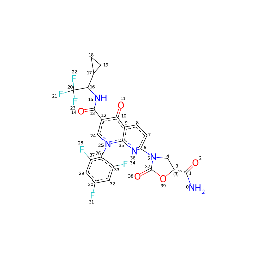 NC(=O)[C@H]1CN(c2ccc3c(=O)c(C(=O)NC(C4CC4)C(F)(F)F)cn(-c4c(F)cc(F)cc4F)c3n2)C(=O)O1